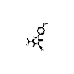 COc1ccc(-n2nc(C(C)=O)c(C)c(C#N)c2=O)cc1